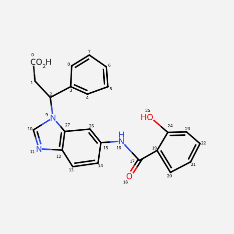 O=C(O)CC(c1ccccc1)n1cnc2ccc(NC(=O)c3ccccc3O)cc21